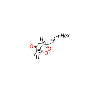 CCCCCC/C=C/[C@@]1(C)OO[C@@H]2C[C@H]1CC(=O)[C@@H]2C